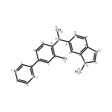 CCc1cc(-c2cnccn2)ccc1N(C)c1cc2c(cn1)ncn2C